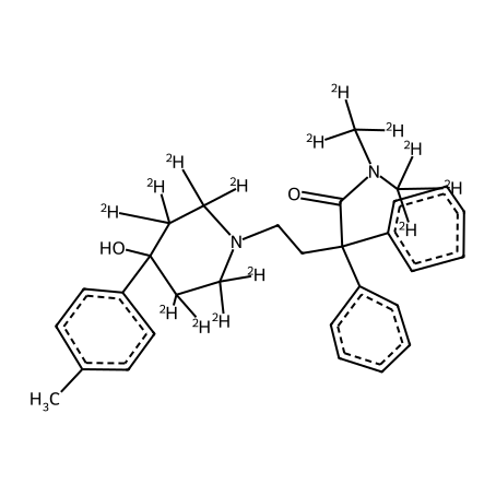 [2H]C([2H])([2H])N(C(=O)C(CCN1C([2H])([2H])C([2H])([2H])C(O)(c2ccc(C)cc2)C([2H])([2H])C1([2H])[2H])(c1ccccc1)c1ccccc1)C([2H])([2H])[2H]